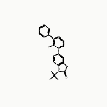 CC(C)(C)N1C(=O)Cc2cc(-c3cccc(-c4ccccc4)c3F)ccc21